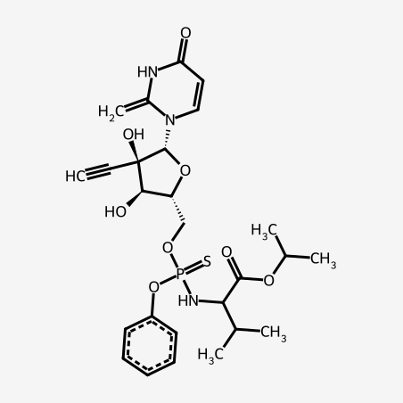 C#C[C@@]1(O)[C@H](O)[C@@H](COP(=S)(NC(C(=O)OC(C)C)C(C)C)Oc2ccccc2)O[C@H]1N1C=CC(=O)NC1=C